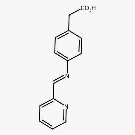 O=C(O)Cc1ccc(/N=C/c2ccccn2)cc1